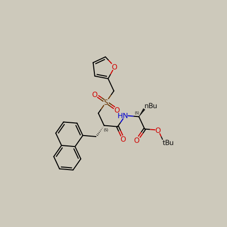 CCCC[C@H](NC(=O)[C@H](Cc1cccc2ccccc12)CS(=O)(=O)Cc1ccco1)C(=O)OC(C)(C)C